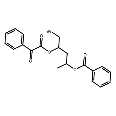 CC(C)CC(CC(C)OC(=O)c1ccccc1)OC(=O)C(=O)c1ccccc1